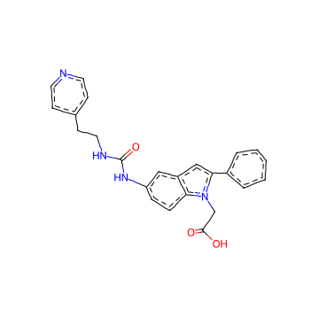 O=C(O)Cn1c(-c2ccccc2)cc2cc(NC(=O)NCCc3ccncc3)ccc21